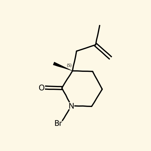 C=C(C)C[C@]1(C)CCCN(Br)C1=O